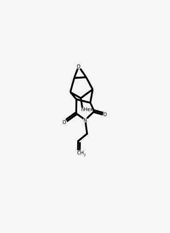 C=CCN1C(=O)C2C(C1=O)C1C(CCCCCC)C2C2OC21